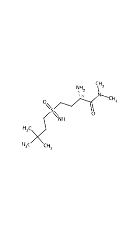 CN(C)C(=O)[C@@H](N)CCS(=N)(=O)CCC(C)(C)C